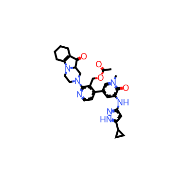 CC(=O)OCc1c(-c2cc(Nc3cc(C4CC4)[nH]n3)c(=O)n(C)c2)ccnc1N1CCN2C3=C(CCCC3)C(=O)C2C1